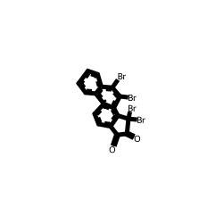 O=C1C(=O)C(Br)(Br)c2c1ccc1c2c(Br)c(Br)c2ccccc21